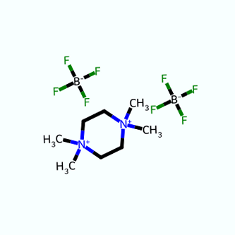 C[N+]1(C)CC[N+](C)(C)CC1.F[B-](F)(F)F.F[B-](F)(F)F